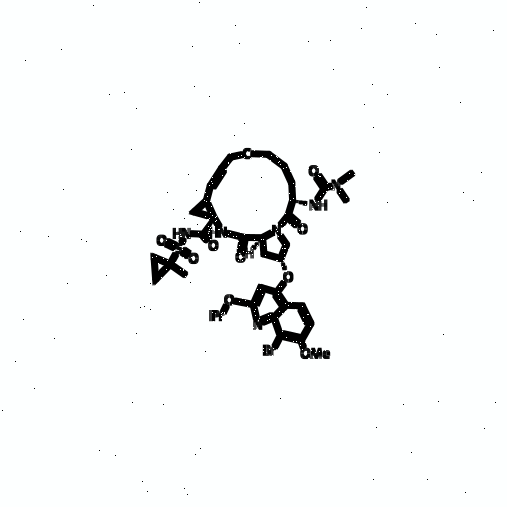 COc1ccc2c(O[C@@H]3C[C@H]4C(=O)N[C@]5(C(=O)NS(=O)(=O)C6(C)CC6)CC5/C=C\CCCCC[C@H](NC(=O)N(C)C)C(=O)N4C3)cc(OC(C)C)nc2c1Br